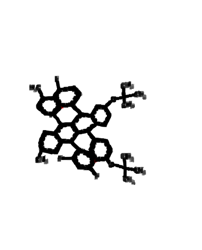 Cc1ccc(-c2c3ccc(C)cc3c(-c3ccc(F)cc3F)c3c(-c4ccc(OC(C)(C)C)cc4)c4ccc(OC(C)(C)C)cc4c(-c4ccc(F)cc4F)c23)cc1